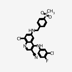 CS(=O)(=O)c1ccc(CNc2cc(Cl)c3ncc(C#N)c(Nc4ccc(F)c(Cl)c4)c3c2)cc1